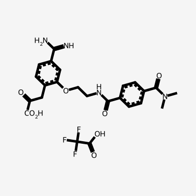 CN(C)C(=O)c1ccc(C(=O)NCCOc2cc(C(=N)N)ccc2CC(=O)C(=O)O)cc1.O=C(O)C(F)(F)F